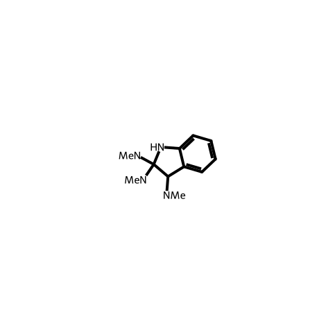 CNC1c2ccccc2NC1(NC)NC